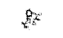 CCCc1ccccc1.CCOC(=S)N(CC)CC.NC(O)=S